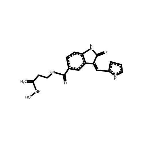 C=C(CCNC(=O)c1ccc2c(c1)/C(=C/c1ccc[nH]1)C(=O)N2)NO